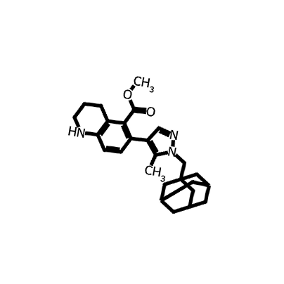 COC(=O)c1c(-c2cnn(CC34CC5CC(CC(C5)C3)C4)c2C)ccc2c1CCCN2